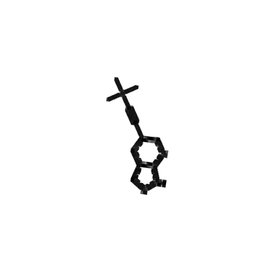 CS(C)(C)C#Cc1cnc2[nH]ncc2c1